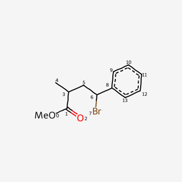 COC(=O)C(C)CC(Br)c1ccccc1